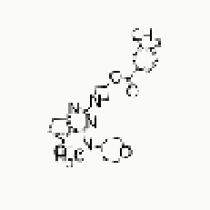 Cc1cccc(C(=O)OC2CN(c3nc4c(c(N(C)C5CCOCC5)n3)[S+]([O-])CC4)C2)c1